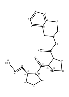 O=C(CC1CCc2ccccc2C1)C1CCN[C@H]1C(=O)N1CCC[C@H]1C=NO